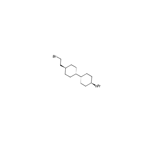 CCC[C@H]1CC[C@H]([C@H]2CC[C@H](CCBr)CC2)CC1